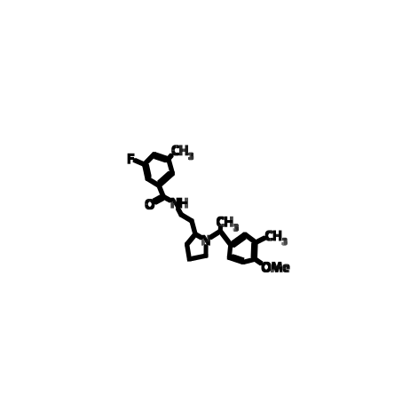 COc1ccc(C(C)N2CCCC2CCNC(=O)c2cc(C)cc(F)c2)cc1C